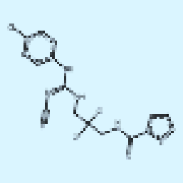 N#CN=C(NCC(Cl)(Cl)CNC(=O)c1cccs1)Nc1ccc(Cl)nc1